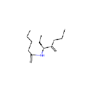 C=C(CCCC)N[C@@H](CC)C(=C)CCC